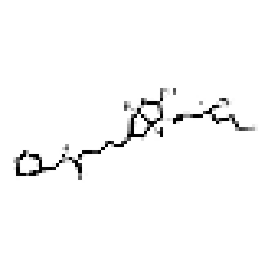 CCCC[C@](C)(O)C/C=C/[C@@H]1[C@H]2CC(CCCCC(=O)NCc3ccncc3)=C[C@H]2C[C@H]1O